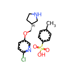 Cc1ccc(S(=O)(=O)O)cc1.Clc1ccc(OC[C@@H]2CCNC2)cn1